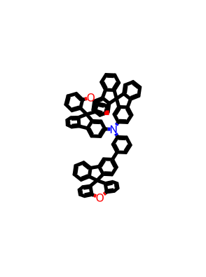 c1cc(-c2ccc3c(c2)-c2ccccc2C32c3ccccc3Oc3ccccc32)cc(N(c2ccc3c(c2)C2(c4ccccc4Oc4ccccc42)c2ccccc2-3)c2ccc3c(c2)C2(c4ccccc4-c4ccccc42)c2ccccc2-3)c1